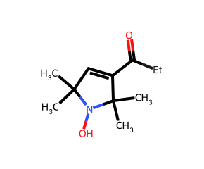 CCC(=O)C1=CC(C)(C)N(O)C1(C)C